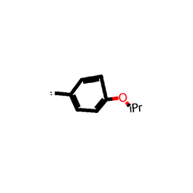 [CH]c1ccc(OC(C)C)cc1